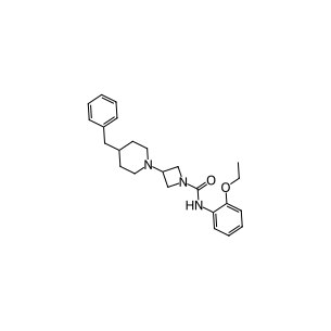 CCOc1ccccc1NC(=O)N1CC(N2CCC(Cc3ccccc3)CC2)C1